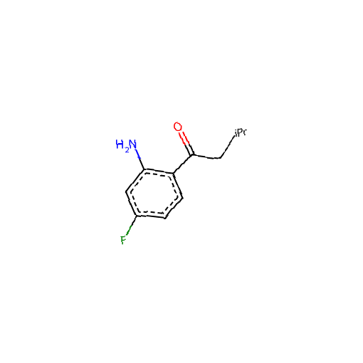 CC(C)CC(=O)c1ccc(F)cc1N